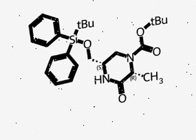 C[C@@H]1C(=O)N[C@H](CO[Si](c2ccccc2)(c2ccccc2)C(C)(C)C)CN1C(=O)OC(C)(C)C